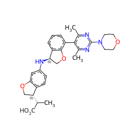 Cc1nc(N2CCOCC2)nc(C)c1-c1cccc2c1OC[C@H]2Nc1ccc2c(c1)OC[C@H]2C(C)C(=O)O